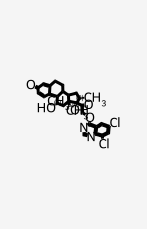 C[C@@H]1CC2C3CCC4=CC(=O)C=CC4(C)C3[C@@H](O)CC2(C)[C@@]1(O)C(=O)COc1ncnc2c(Cl)cc(Cl)cc12